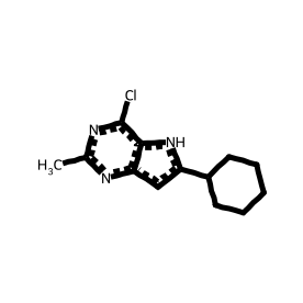 Cc1nc(Cl)c2[nH]c(C3CCCCC3)cc2n1